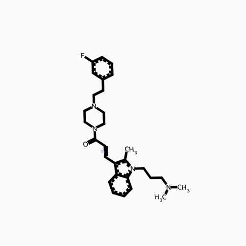 Cc1c(/C=C/C(=O)N2CCN(CCc3cccc(F)c3)CC2)c2ccccc2n1CCCN(C)C